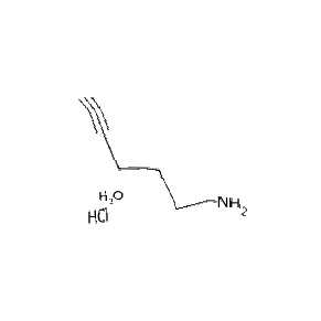 C#CCCCN.Cl.O